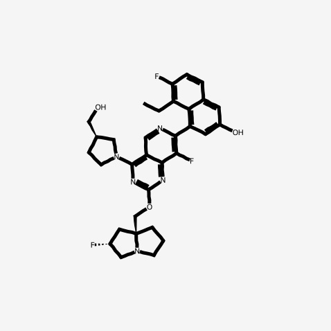 CCc1c(F)ccc2cc(O)cc(-c3ncc4c(N5CC[C@@H](CO)C5)nc(OC[C@@]56CCCN5C[C@H](F)C6)nc4c3F)c12